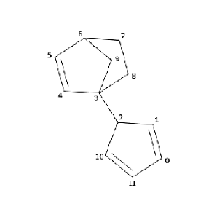 C1=CC(C23C=CC(CC2)C3)C=C1